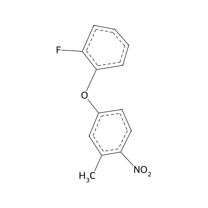 Cc1cc(Oc2ccccc2F)ccc1[N+](=O)[O-]